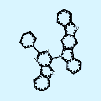 c1ccc(-c2nc(-n3c4ccccc4c4cc5oc6ccccc6c5cc43)c3oc4ccccc4c3n2)cc1